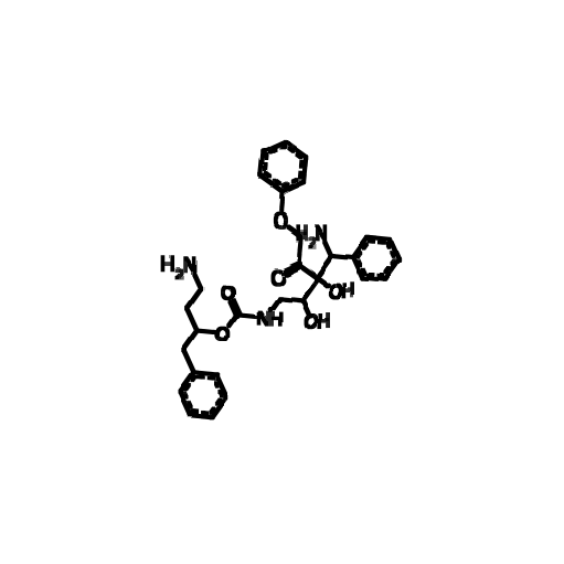 NCCC(Cc1ccccc1)OC(=O)NCC(O)C(O)(C(=O)COc1ccccc1)C(N)c1ccccc1